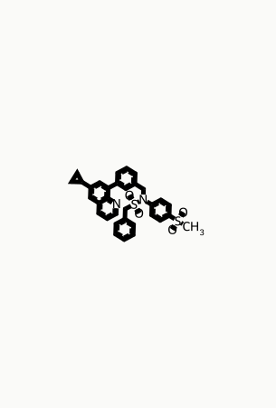 CS(=O)(=O)c1ccc(N(Cc2cccc(-c3cc(C4CC4)cc4cccnc34)c2)S(=O)(=O)Cc2ccccc2)cc1